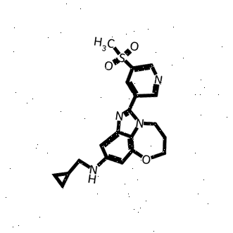 CS(=O)(=O)c1cncc(-c2nc3cc(NCC4CC4)cc4c3n2CCCO4)c1